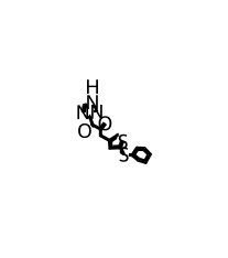 O=C(Cc1csc(Sc2ccccc2)c1)C(=O)c1nc[nH]n1